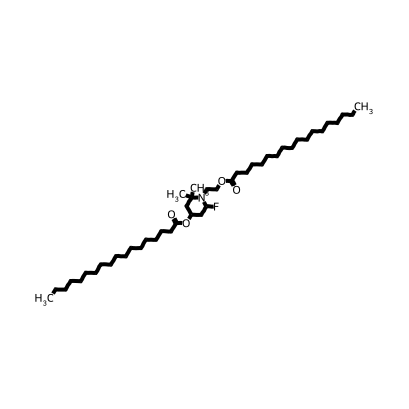 CCCCCCCCCCCCCCCCCC(=O)OCCN1C(F)CC(OC(=O)CCCCCCCCCCCCCCCCC)CC1(C)C